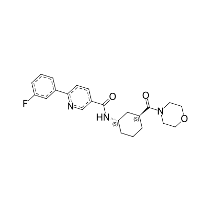 O=C(N[C@H]1CCC[C@H](C(=O)N2CCOCC2)C1)c1ccc(-c2cccc(F)c2)nc1